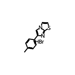 Br.Cc1ccc(-c2cn3ccsc3n2)cc1